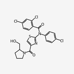 O=C(c1ccc(Cl)cc1Cl)N(c1ccc(Cl)cc1)c1nc(C(=O)N2CCCC2CO)cs1